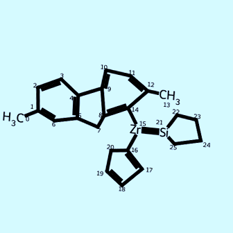 Cc1ccc2c(c1)Cc1c-2ccc(C)[c]1[Zr]([C]1=CC=CC1)=[Si]1CCCC1